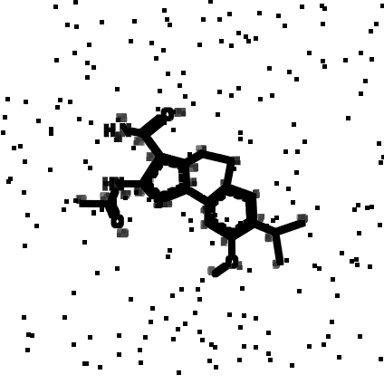 COc1cc2c(cc1C(C)C)CCc1c-2sc(NC(C)=O)c1C(N)=O